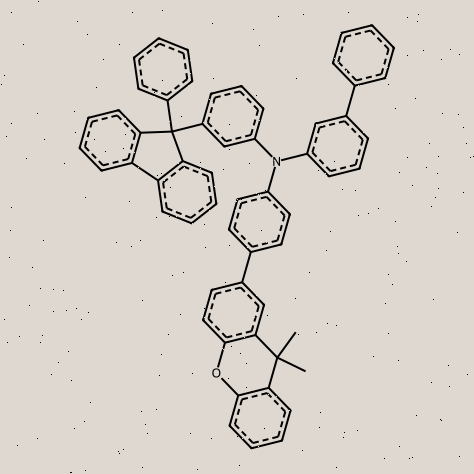 CC1(C)c2ccccc2Oc2ccc(-c3ccc(N(c4cccc(-c5ccccc5)c4)c4cccc(C5(c6ccccc6)c6ccccc6-c6ccccc65)c4)cc3)cc21